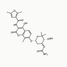 CO[C@@H]1[C@@H](OC(N)=O)C[C@H](Oc2ccc3c(O)c(NC(=O)c4cc(C)oc4C)c(=O)oc3c2C)OC1(C)C